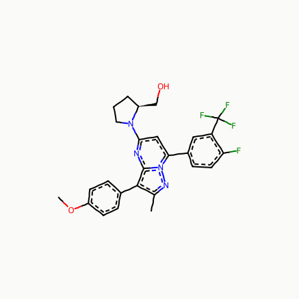 COc1ccc(-c2c(C)nn3c(-c4ccc(F)c(C(F)(F)F)c4)cc(N4CCC[C@H]4CO)nc23)cc1